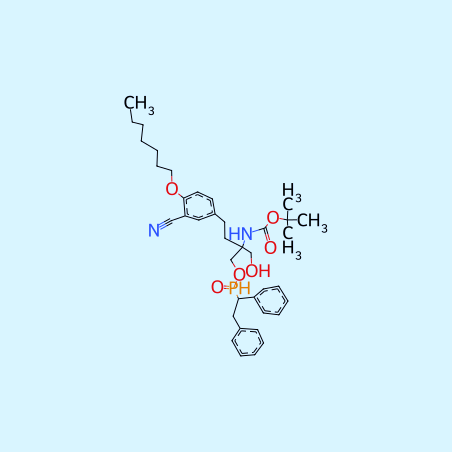 CCCCCCCOc1ccc(CCC(CO)(CO[PH](=O)C(Cc2ccccc2)c2ccccc2)NC(=O)OC(C)(C)C)cc1C#N